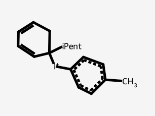 CCCC(C)C1([I+]c2ccc(C)cc2)C=CC=CC1